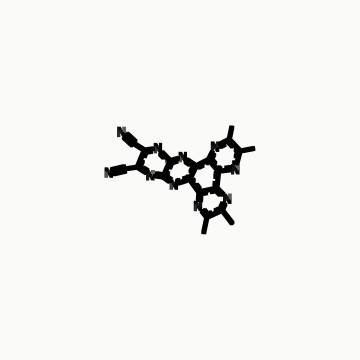 Cc1nc2c3nc(C)c(C)nc3c3nc4nc(C#N)c(C#N)nc4nc3c2nc1C